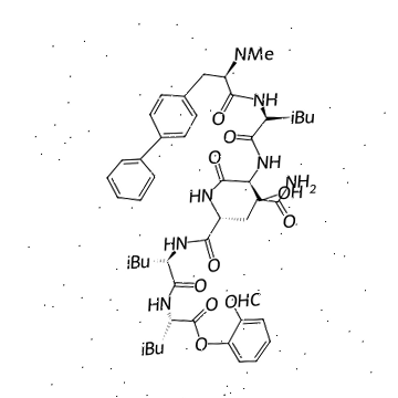 CC[C@H](C)[C@H](NC(=O)[C@@H](Cc1ccc(-c2ccccc2)cc1)NC)C(=O)N[C@@H](CO)C(=O)N[C@H](CCC(N)=O)C(=O)N[C@@H](C(=O)N[C@H](C(=O)Oc1ccccc1C=O)[C@@H](C)CC)[C@@H](C)CC